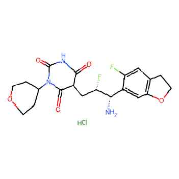 Cl.N[C@@H](c1cc2c(cc1F)CCO2)[C@@H](F)CC1C(=O)NC(=O)N(C2CCOCC2)C1=O